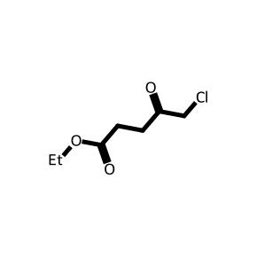 CCOC(=O)CCC(=O)CCl